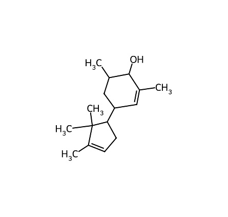 CC1=CC(C2CC=C(C)C2(C)C)CC(C)C1O